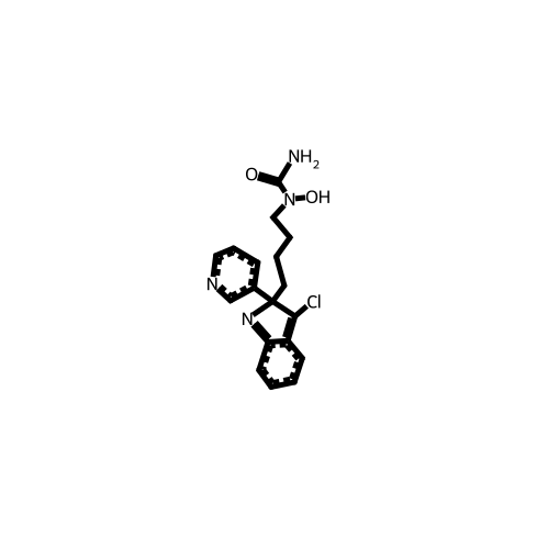 NC(=O)N(O)CCCCC1(c2cccnc2)N=c2ccccc2=C1Cl